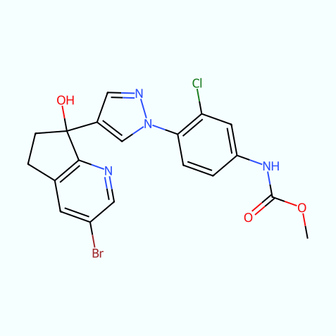 COC(=O)Nc1ccc(-n2cc(C3(O)CCc4cc(Br)cnc43)cn2)c(Cl)c1